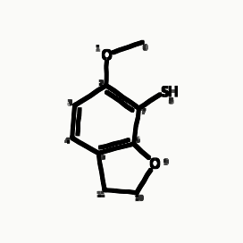 COc1ccc2c(c1S)OCC2